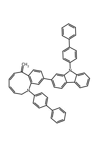 C=C1/C=C\C=C/CN(c2ccc(-c3ccccc3)cc2)c2cc(-c3ccc4c5ccccc5n(-c5ccc(-c6ccccc6)cc5)c4c3)ccc21